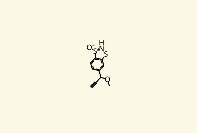 C#CC(OC)c1ccc2c(c1)SN[S+]2[O-]